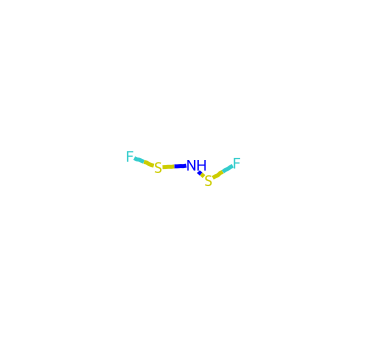 FSNSF